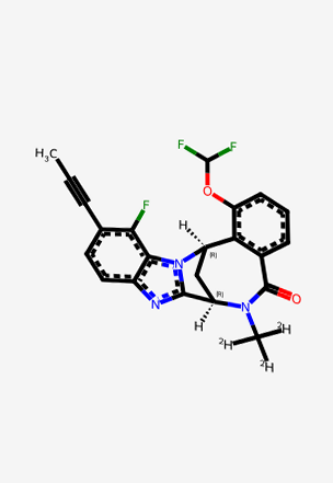 [2H]C([2H])([2H])N1C(=O)c2cccc(OC(F)F)c2[C@H]2C[C@@H]1c1nc3ccc(C#CC)c(F)c3n12